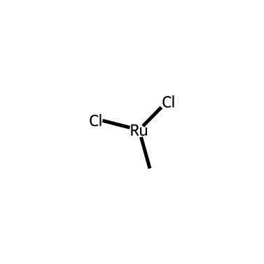 [CH3][Ru]([Cl])[Cl]